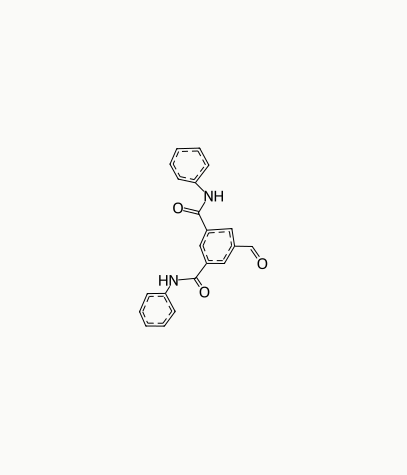 O=Cc1cc(C(=O)Nc2ccccc2)cc(C(=O)Nc2ccccc2)c1